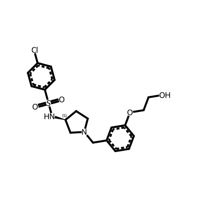 O=S(=O)(N[C@H]1CCN(Cc2cccc(OCCO)c2)C1)c1ccc(Cl)cc1